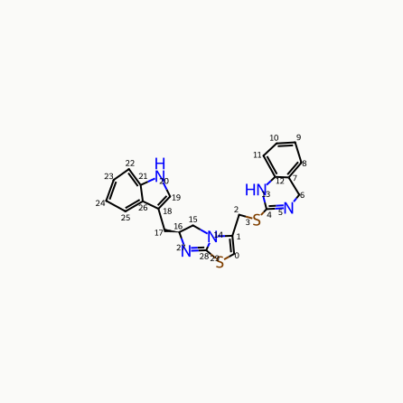 C1=C(CSC2=NCc3ccccc3N2)N2C[C@H](Cc3c[nH]c4ccccc34)N=C2S1